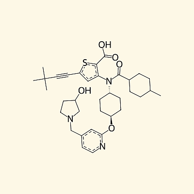 CC1CCC(C(=O)N(c2cc(C#CC(C)(C)C)sc2C(=O)O)[C@H]2CC[C@H](Oc3cc(CN4CCC(O)C4)ccn3)CC2)CC1